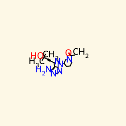 C=CC(=O)N1CCC[C@@H](n2nc(C#CC(C)(C)O)c3c(N)ncnc32)C1